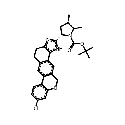 C[C@@H]1C[C@@H](c2nc3c([nH]2)-c2cc4c(cc2CC3)-c2ccc(Cl)cc2OC4)N(C(=O)OC(C)(C)C)[C@@H]1C